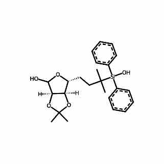 CC1(C)O[C@@H]2[C@@H](CCC(C)(C)[Si](O)(c3ccccc3)c3ccccc3)OC(O)[C@@H]2O1